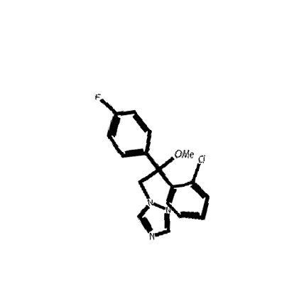 COC(Cn1cncn1)(c1ccc(F)cc1)c1ccccc1Cl